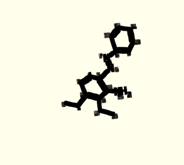 CCc1ccc(N=Nc2ccccc2)c(N)c1CC